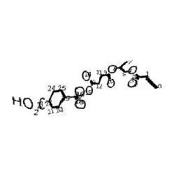 C=CC(=O)OCC(C)OC(=O)CCC(=O)OOC(=O)[C@H]1CC[C@H](C(=O)O)CC1